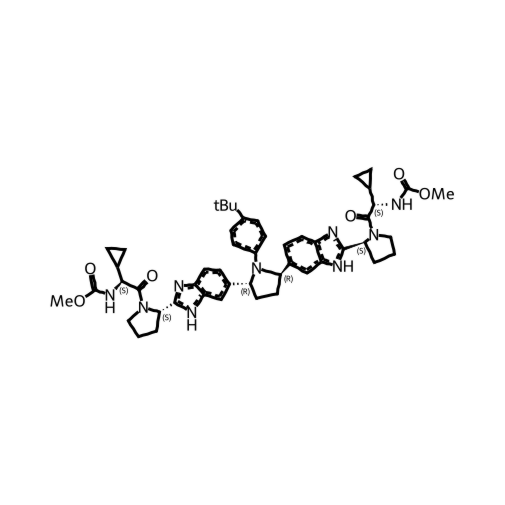 COC(=O)N[C@H](C(=O)N1CCC[C@H]1c1nc2ccc([C@H]3CC[C@H](c4ccc5nc([C@@H]6CCCN6C(=O)[C@@H](NC(=O)OC)C6CC6)[nH]c5c4)N3c3ccc(C(C)(C)C)cc3)cc2[nH]1)C1CC1